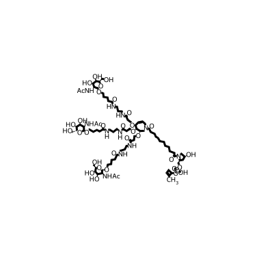 CC(=O)N[C@H]1[C@H](OCCCCC(=O)NCCCNC(=O)CCO[C@@H]2[C@@H](OCCC(=O)NCCCNC(=O)CCCCO[C@@H]3O[C@H](CO)[C@H](O)[C@H](O)[C@H]3NC(C)=O)CN(C(=O)CCCCCCCCCCC(=O)N3C[C@H](O)C[C@H]3COP(=O)(O)OC3CC=C3C)C/C=C\[C@H]2OCCC(=O)NCCCNC(=O)CCCCO[C@@H]2O[C@H](CO)[C@H](O)[C@H](O)[C@H]2NC(C)=O)O[C@H](CO)[C@H](O)[C@@H]1O